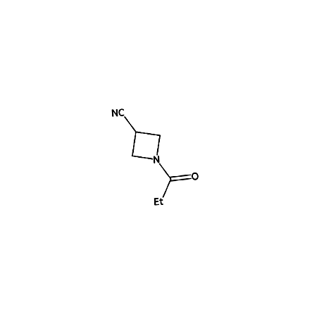 CCC(=O)N1CC(C#N)C1